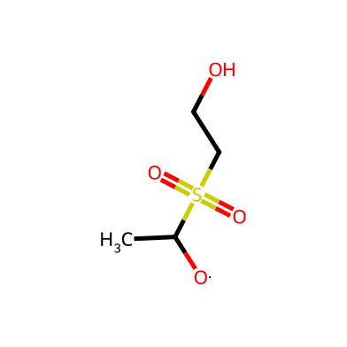 CC([O])S(=O)(=O)CCO